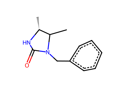 CC1[C@@H](C)NC(=O)N1Cc1ccccc1